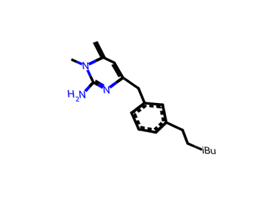 C=C1C=C(Cc2cccc(CCC(C)CC)c2)N=C(N)N1C